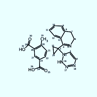 C1=CN(C2(C3=NCCc4ccccc43)CC2)NN=N1.Cc1ccc(C(=O)O)cc1C(=O)O